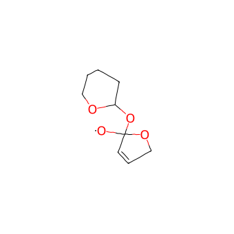 [O]C1(OC2CCCCO2)C=CCO1